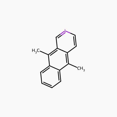 Cc1c2c(c(C)c3ccccc13)C=IC=C2